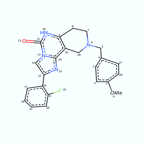 COc1ccc(CN2CCc3[nH]c(=O)n4cc(-c5ccccc5F)nc4c3C2)cc1